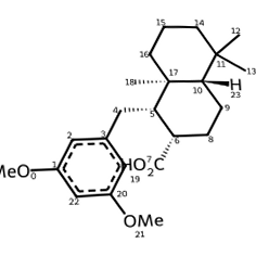 COc1cc(C[C@H]2[C@@H](C(=O)O)CC[C@H]3C(C)(C)CCC[C@]23C)cc(OC)c1